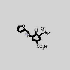 CC(C)[S+]([O-])c1cc(C(=O)O)cc(/N=C/c2ccco2)c1Cl